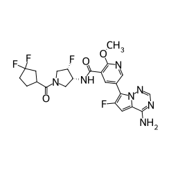 COc1ncc(-c2c(F)cc3c(N)ncnn23)cc1C(=O)N[C@@H]1CN(C(=O)C2CCC(F)(F)C2)C[C@@H]1F